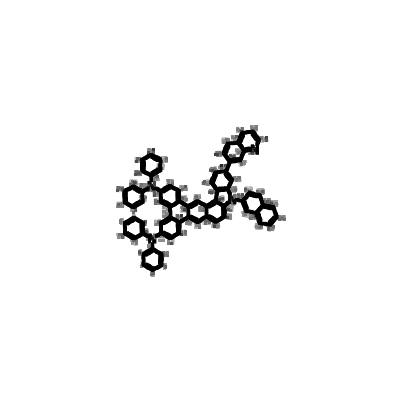 c1ccc(N(c2ccccc2)c2ccc3c(c2)c2cc(N(c4ccccc4)c4ccccc4)ccc2c2cc4c(ccc5c4c4ccc(-c6ccc7cccnc7c6)cc4n5-c4ccc5ccccc5c4)cc32)cc1